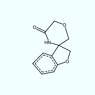 O=C1COCC2(COc3ccccc32)N1